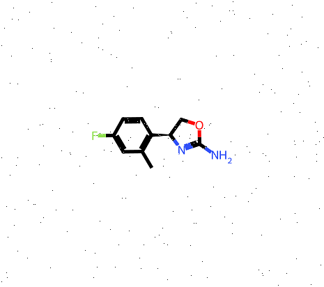 Cc1cc(F)ccc1[C@H]1COC(N)=N1